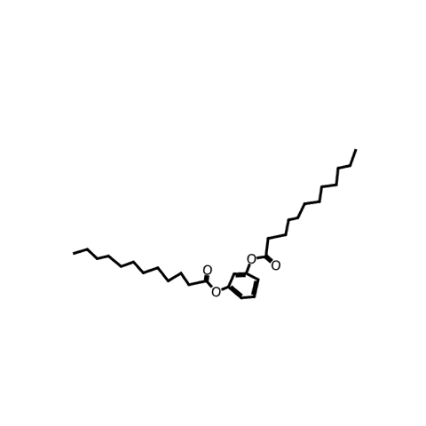 CCCCCCCCCCCC(=O)Oc1cccc(OC(=O)CCCCCCCCCCC)c1